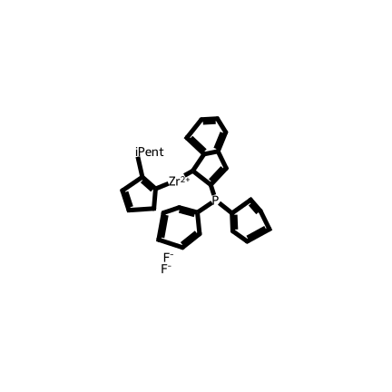 CCCC(C)C1=[C]([Zr+2][CH]2C(P(c3ccccc3)c3ccccc3)=Cc3ccccc32)CC=C1.[F-].[F-]